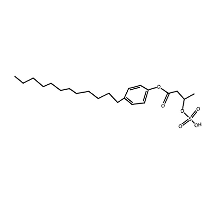 CCCCCCCCCCCCc1ccc(OC(=O)CC(C)OS(=O)(=O)O)cc1